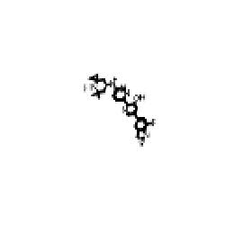 CN(c1ccc(-c2ncc(-c3cc(F)c4nn(C)cc4c3)cc2O)nn1)C1CC(C)(C)NC2(CC2)C1